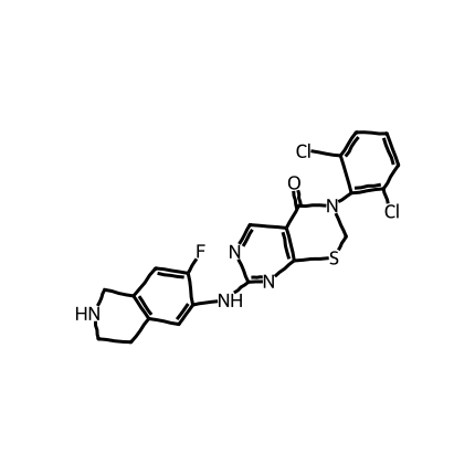 O=C1c2cnc(Nc3cc4c(cc3F)CNCC4)nc2SCN1c1c(Cl)cccc1Cl